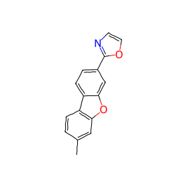 Cc1ccc2c(c1)oc1cc(-c3ncco3)ccc12